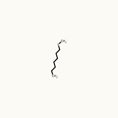 [CH2]CCCCCCSC